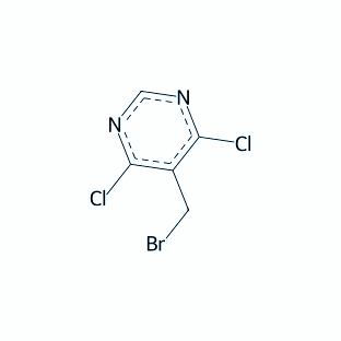 Clc1ncnc(Cl)c1CBr